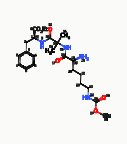 CCOC(=O)[C@H](Cc1ccccc1)NC(=O)C(C)(C)NC(=O)[C@@H](N)CCCCNC(=O)OC(C)(C)C